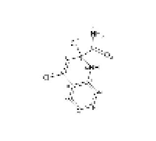 NC(=O)C1(Cl)C=C(Cl)c2ccccc2N1